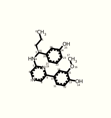 CCC[C@H](Nc1cncc(-c2ccc(O)c(OC)c2)n1)c1cccc(O)c1